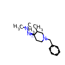 CC1CN(Cc2ccccc2)CC/C1=N/N(C)C